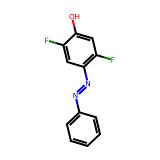 Oc1cc(F)c(/N=N/c2ccccc2)cc1F